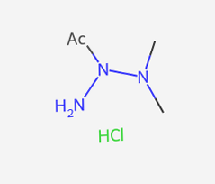 CC(=O)N(N)N(C)C.Cl